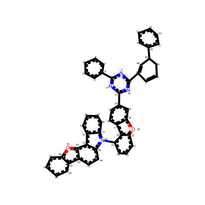 C1=CC(c2nc(-c3ccccc3)nc(-c3ccc4c(c3)oc3cccc(-n5c6ccccc6c6c7oc8ccccc8c7ccc65)c34)n2)=CC(c2ccccc2)C1